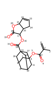 C=C(C)C(=O)OC12CC3CC(C1)CC(C(=O)OC1C(=O)OC4C=CCC41)(C3)C2